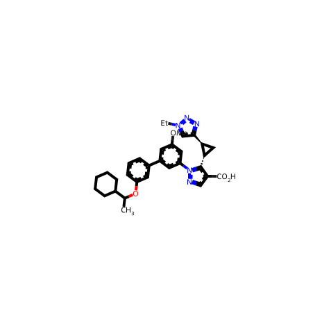 CCn1cc([C@H]2C[C@@H]2c2c(C(=O)O)cnn2-c2cc(OC)cc(-c3cccc(OC(C)C4CCCCC4)c3)c2)nn1